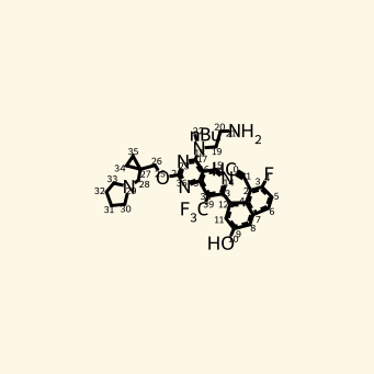 C#Cc1c(F)ccc2cc(O)cc(-c3ncc4c(N(CCN)CCCC)nc(OCC5(CN6CCCC6)CC5)nc4c3C(F)(F)F)c12